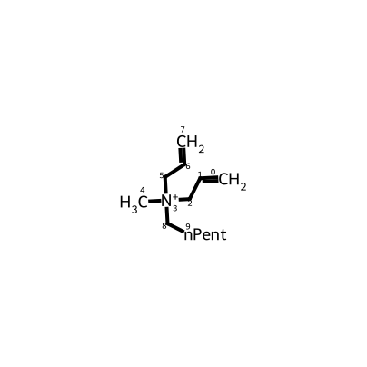 C=CC[N+](C)(CC=C)CCCCCC